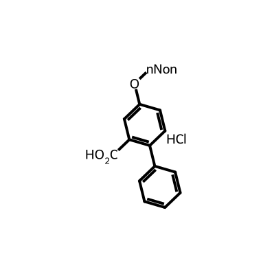 CCCCCCCCCOc1ccc(-c2ccccc2)c(C(=O)O)c1.Cl